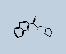 O=C(NC[C@@H]1CCCN1)c1ccc2ccccc2n1